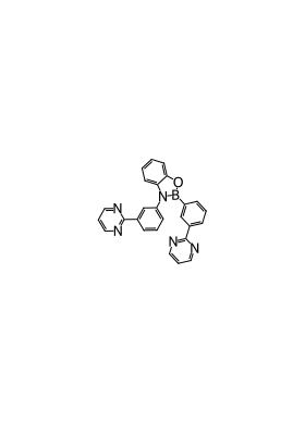 c1cnc(-c2cccc(B3Oc4ccccc4N3c3cccc(-c4ncccn4)c3)c2)nc1